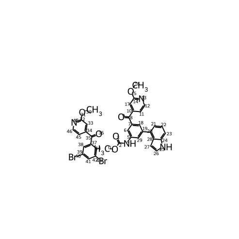 COC(=O)Nc1cc(C(=O)c2ccnc(OC)c2)cc(-c2cccc3[nH]ccc23)c1.COc1cc(C(=O)c2cc(Br)cc(Br)c2)ccn1